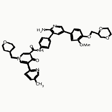 COc1cc(-c2cnc(N)c(-c3ccc(NC(=O)c4cn(CC5CCOCC5)cc(-c5ccc(C)cn5)c4=O)cc3)c2)ccc1OCC1COCCO1